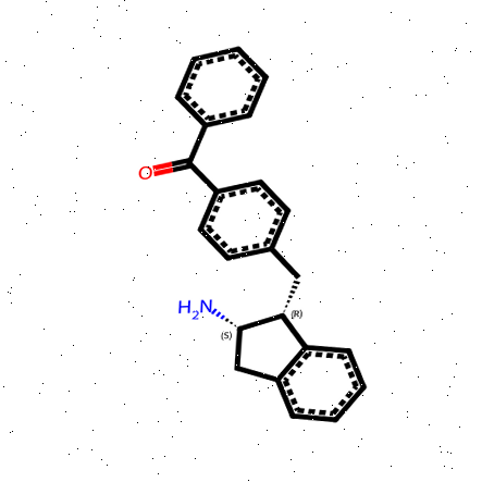 N[C@H]1Cc2ccccc2[C@H]1Cc1ccc(C(=O)c2ccccc2)cc1